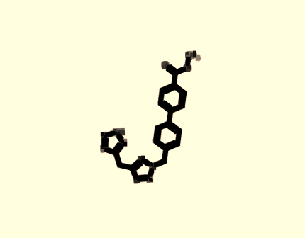 COC(=O)c1ccc(-c2ccc(Cn3nnc(Cc4nn[nH]n4)n3)cc2)cc1